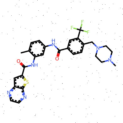 Cc1ccc(NC(=O)c2ccc(CN3CCN(C)CC3)c(C(F)(F)F)c2)cc1NC(=O)c1cc2nccnc2s1